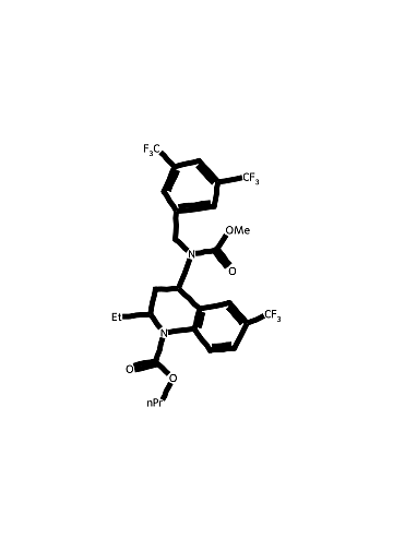 CCCOC(=O)N1c2ccc(C(F)(F)F)cc2C(N(Cc2cc(C(F)(F)F)cc(C(F)(F)F)c2)C(=O)OC)CC1CC